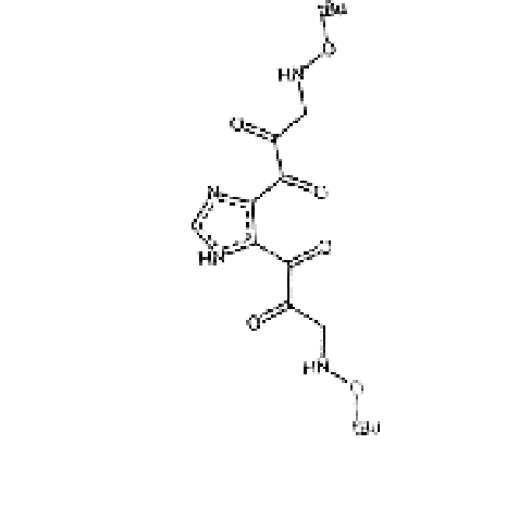 CC(C)(C)ONCC(=O)C(=O)c1nc[nH]c1C(=O)C(=O)CNOC(C)(C)C